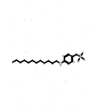 CCCCCCCCCCCCOc1ccc(C[N+](C)(C)C)cc1